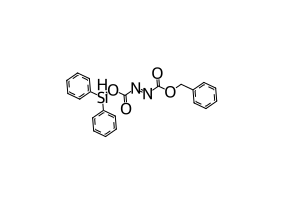 O=C(N=NC(=O)O[SiH](c1ccccc1)c1ccccc1)OCc1ccccc1